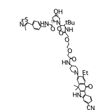 CCc1cc2c(cc1N1CCC(NC(=O)COCCOCC(=O)NC(C(=O)N3C[C@H](O)C[C@H]3C(=O)NCc3ccc(-c4scnc4C)cc3)C(C)(C)C)CC1)C(C)(C)c1[nH]c3cc(C#N)ccc3c1C2=O